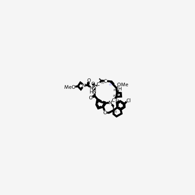 COC1CN(C(=O)N[S@@]2(=O)=NC(=O)c3ccc4c(c3)N(C[C@@H]3CC[C@H]3[C@@H](OC)/C=C/C[C@H](C)C2)C[C@@]2(CCCc3cc(Cl)ccc32)CO4)C1